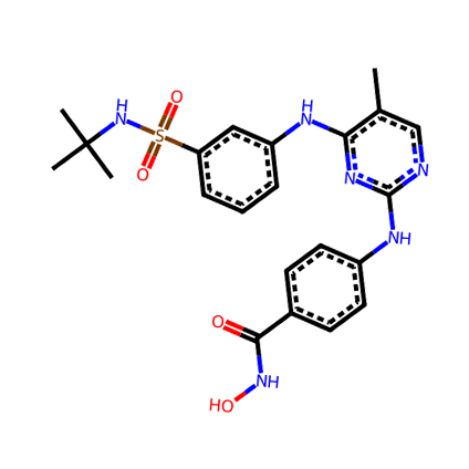 Cc1cnc(Nc2ccc(C(=O)NO)cc2)nc1Nc1cccc(S(=O)(=O)NC(C)(C)C)c1